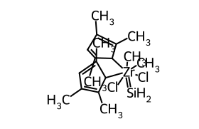 CC1=CC(C)=C(C)[CH]1[Zr]([CH3])([CH3])(=[SiH2])([Cl])([Cl])[CH]1C(C)=CC(C)=C1C